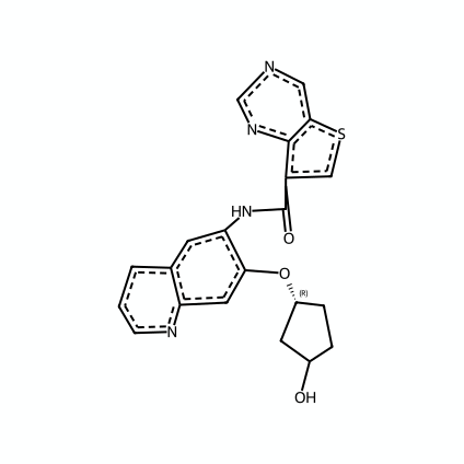 O=C(Nc1cc2cccnc2cc1O[C@@H]1CCC(O)C1)c1csc2cncnc12